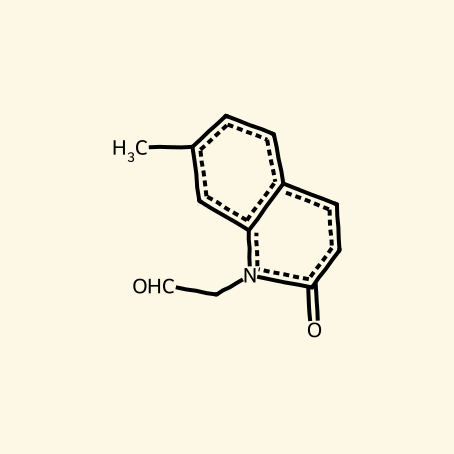 Cc1ccc2ccc(=O)n(CC=O)c2c1